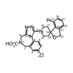 O=C(O)N1Cc2cc(Cl)ccc2-n2c(nnc2N2CCC3(CC2)OCc2cccc(F)c23)C1